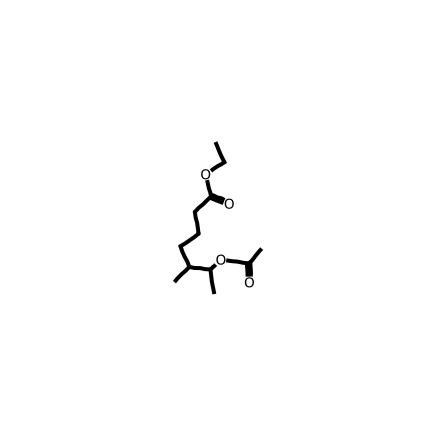 CCOC(=O)CCCC(C)C(C)OC(C)=O